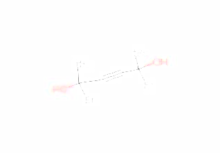 CCC(O)(C#CC(O)(CC)C(C)(C)C)C(C)(C)C